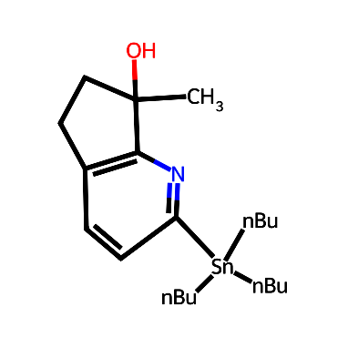 CCC[CH2][Sn]([CH2]CCC)([CH2]CCC)[c]1ccc2c(n1)C(C)(O)CC2